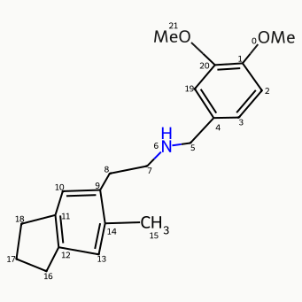 COc1ccc(CNCCc2cc3c(cc2C)CCC3)cc1OC